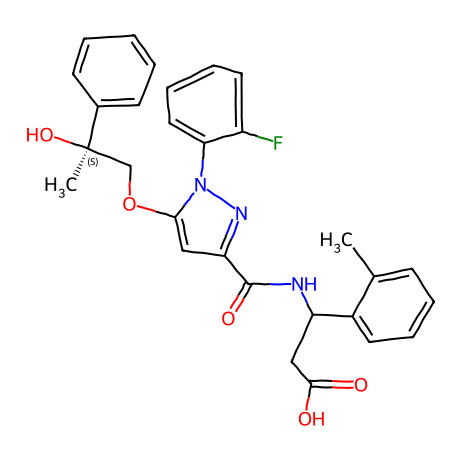 Cc1ccccc1C(CC(=O)O)NC(=O)c1cc(OC[C@@](C)(O)c2ccccc2)n(-c2ccccc2F)n1